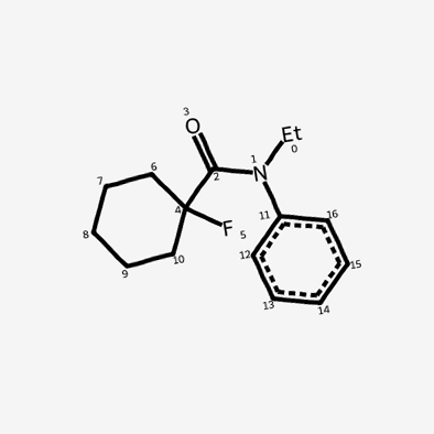 CCN(C(=O)C1(F)CCCCC1)c1ccccc1